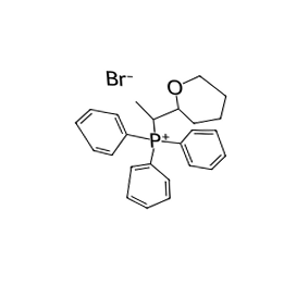 CC(C1CCCCO1)[P+](c1ccccc1)(c1ccccc1)c1ccccc1.[Br-]